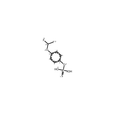 OP(O)(=S)Oc1ccc(OC(F)F)cc1